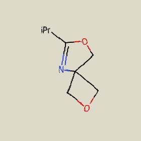 CC(C)C1=NC2(COC2)CO1